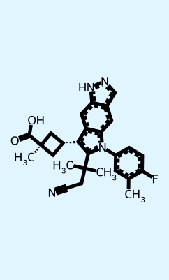 Cc1cc(-n2c(C(C)(C)CC#N)c([C@H]3C[C@](C)(C(=O)O)C3)c3cc4[nH]ncc4cc32)ccc1F